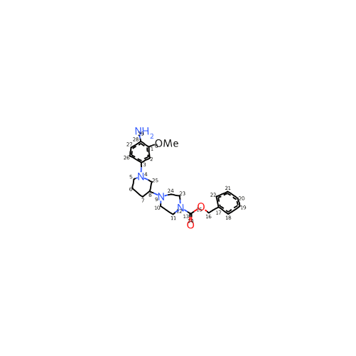 COc1cc(N2CCCC(N3CCN(C(=O)OCc4ccccc4)CC3)C2)ccc1N